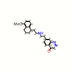 COc1cccc2c1CCCC2CCNCCc1ccc2c(c1)N=NCC2=O